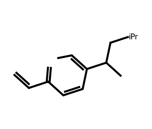 C=CC(=C)/C=C\C(=C/C)C(C)CC(C)C